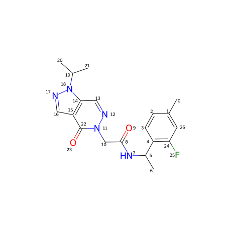 Cc1ccc(C(C)NC(=O)Cn2ncc3c(cnn3C(C)C)c2=O)c(F)c1